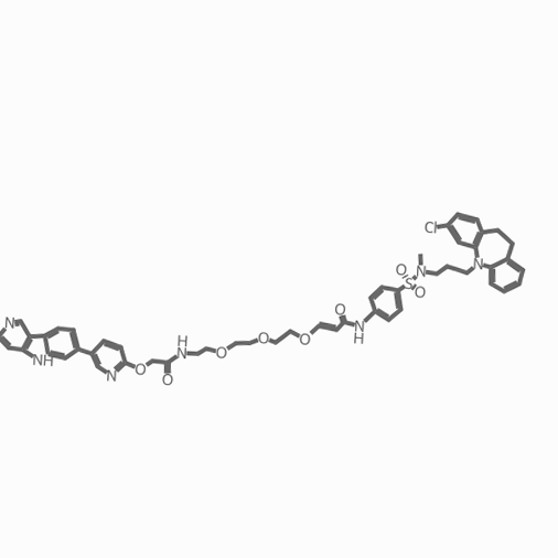 CN(CCCN1c2ccccc2CCc2ccc(Cl)cc21)S(=O)(=O)c1ccc(NC(=O)C=COCCOCCOCCNC(=O)COc2ccc(-c3ccc4c(c3)[nH]c3ccncc34)cn2)cc1